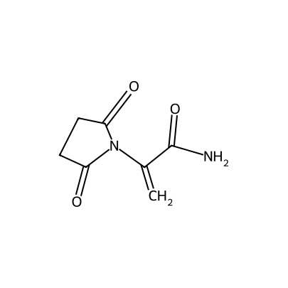 C=C(C(N)=O)N1C(=O)CCC1=O